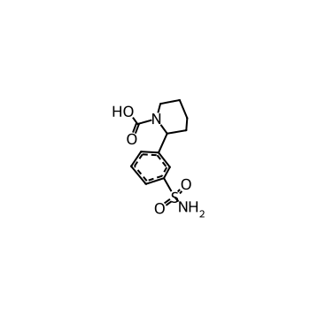 NS(=O)(=O)c1cccc(C2CCCCN2C(=O)O)c1